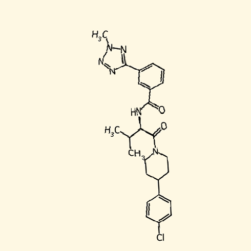 CC(C)[C@@H](NC(=O)c1cccc(-c2nnn(C)n2)c1)C(=O)N1CCC(c2ccc(Cl)cc2)CC1